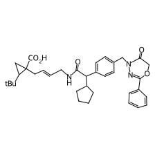 CC(C)(C)C1CC1(CC=CCNC(=O)C(c1ccc(CN2N=C(c3ccccc3)OCC2=O)cc1)C1CCCC1)C(=O)O